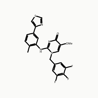 COc1cn(Cc2cc(F)c(F)c(F)c2)c(Nc2cc(-c3cscn3)ccc2C)nc1=O